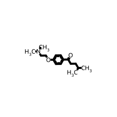 CC(C)CCC(=O)c1ccc(OCCN(C)C)cc1